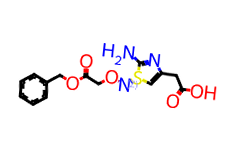 NC1=NC(CC(=O)O)=C/S1=N/OCC(=O)OCc1ccccc1